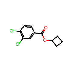 O=C(OC1CCC1)c1ccc(Cl)c(Cl)c1